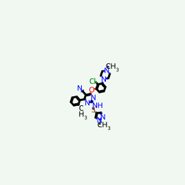 Cc1ccccc1-c1nc(NSc2cnn(C)c2)nc(Oc2cccc(N3CCN(C)CC3)c2Cl)c1C#N